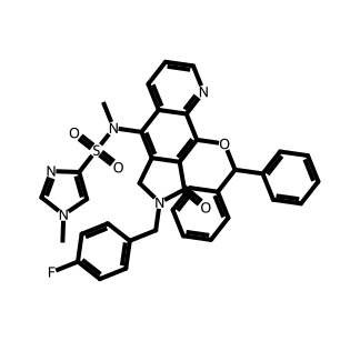 CN(c1c2c(c(OC(c3ccccc3)c3ccccc3)c3ncccc13)C(=O)N(Cc1ccc(F)cc1)C2)S(=O)(=O)c1cn(C)cn1